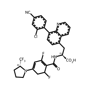 N#Cc1ccc(-c2ccc(C[C@H](NC(=O)C3=C(F)C=C(N4CCC[C@@H]4C(F)(F)F)CC3F)C(=O)O)c3cccnc23)c(Cl)c1